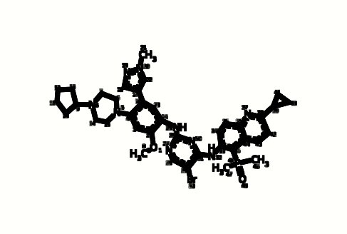 COc1cc(N2CCN(C3CCCC3)CC2)c(-c2cnn(C)c2)cc1Nc1ncc(Br)c(Nc2ccc3nc(C4CC4)ccc3c2P(C)(C)=O)n1